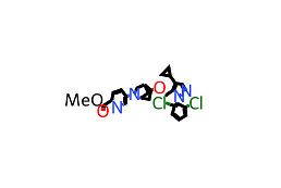 COC(=O)c1ccc(N2CC3CC2CC3OCc2c(C3CC3)cnn2-c2c(Cl)cccc2Cl)cn1